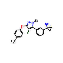 CCn1nc(Oc2ccc(C(F)(F)F)cc2)c(F)c1-c1cccc(C2(N)CC2)c1